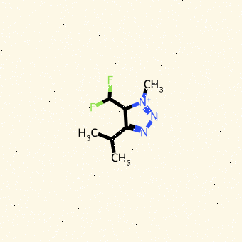 CC(C)C1=NN=[N+](C)C1C(F)F